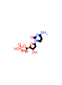 Nc1ccn([C@H]2C[C@H](O)[C@@H](C(Br)OP(=O)(O)O)O2)c(=O)n1